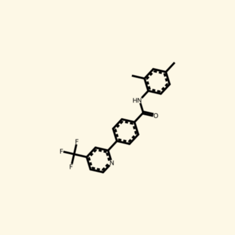 Cc1ccc(NC(=O)c2ccc(-c3cc(C(F)(F)F)ccn3)cc2)c(C)c1